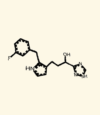 OC(CCc1cc[nH]c1Cc1cccc(F)c1)c1nc[nH]n1